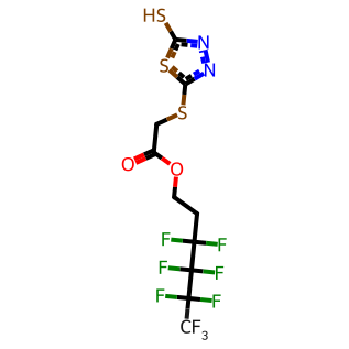 O=C(CSc1nnc(S)s1)OCCC(F)(F)C(F)(F)C(F)(F)C(F)(F)F